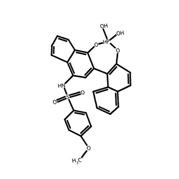 COc1ccc(S(=O)(=O)Nc2cc3c(c4ccccc24)O[PH](O)(O)Oc2ccc4ccccc4c2-3)cc1